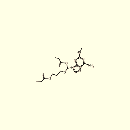 CCC(=O)OCCCOC(OC(=O)CC)n1cnc2c(N)nc(NC)nc21